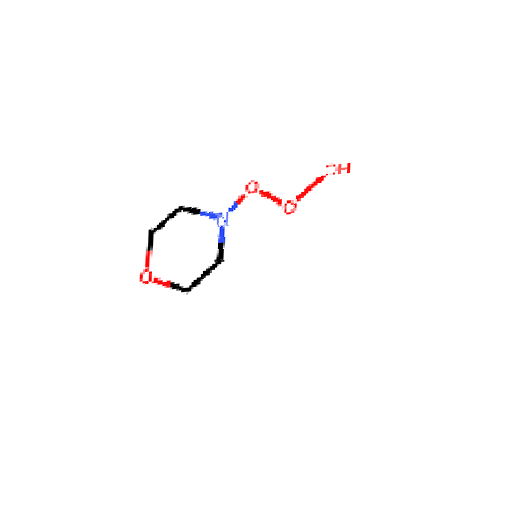 OOON1CCOCC1